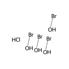 Cl.OBr.OBr.OBr.OBr